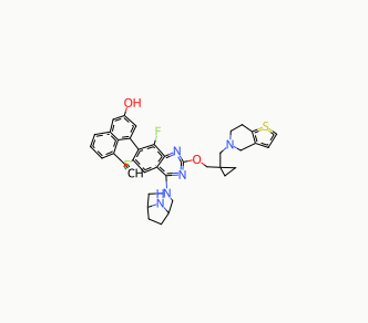 C#Cc1cccc2cc(O)cc(-c3c(F)cc4c(N5CC6CCC(C5)N6)nc(OCC5(CN6CCc7sccc7C6)CC5)nc4c3F)c12